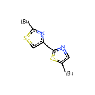 CC(C)(C)c1cnc(-c2csc(C(C)(C)C)n2)s1